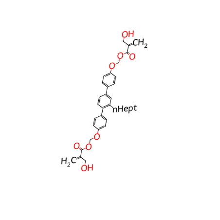 C=C(CO)C(=O)OCOc1ccc(-c2ccc(-c3ccc(OCOC(=O)C(=C)CO)cc3)c(CCCCCCC)c2)cc1